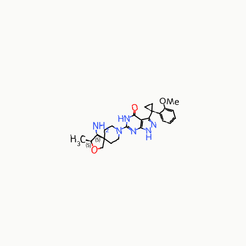 COc1ccccc1C1(c2n[nH]c3nc(N4CCC5(CC4)CO[C@@H](C)[C@H]5N)[nH]c(=O)c23)CC1